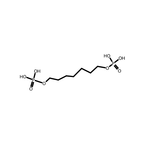 O=P(O)(O)OCCCCCCCOP(=O)(O)O